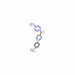 CC(C)N1CCN(C(=O)C2CCN(c3ccc(C#N)cc3)CC2)CC1